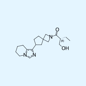 CC[C@H](CO)C(=O)N1CC2(CCC(c3ncn4c3CCCC4)C2)C1